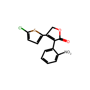 O=C1OCC(c2ccc(Cl)s2)=C1c1ccccc1[N+](=O)[O-]